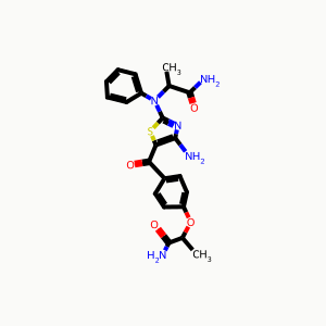 CC(Oc1ccc(C(=O)c2sc(N(c3ccccc3)C(C)C(N)=O)nc2N)cc1)C(N)=O